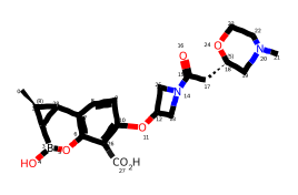 C[C@@H]1C2B(O)Oc3c(ccc(OC4CN(C(=O)C[C@H]5CN(C)CCO5)C4)c3C(=O)O)C21